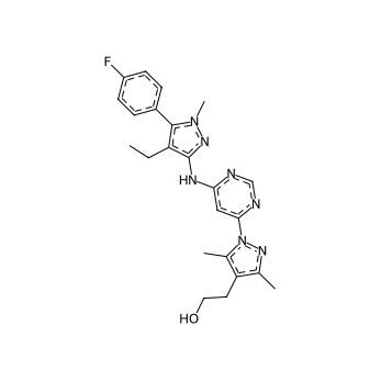 CCc1c(Nc2cc(-n3nc(C)c(CCO)c3C)ncn2)nn(C)c1-c1ccc(F)cc1